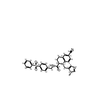 Cn1cncc1CN1c2ccc(C#N)cc2C[CH]C1C(=O)NCc1ccc(S(=O)(=O)c2ccccc2)cc1